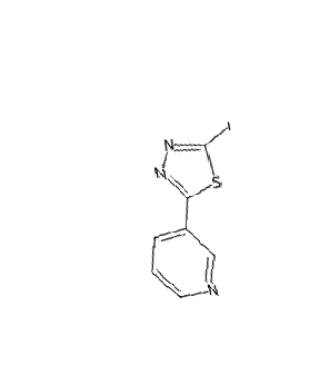 Ic1nnc(-c2cccnc2)s1